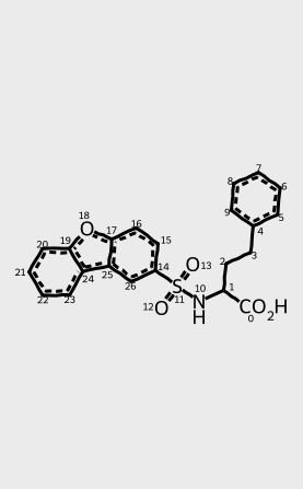 O=C(O)C(CCc1ccccc1)NS(=O)(=O)c1ccc2oc3ccccc3c2c1